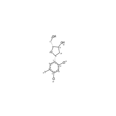 OC[C@H]1O[C@@H](c2cc(I)c(Cl)cc2Cl)CC1O